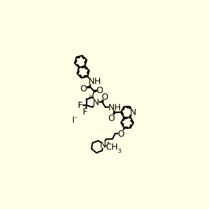 C[N+]1(CCCOc2ccc3nccc(C(=O)NCC(=O)N4CC(F)(F)C[C@H]4C(=O)C(=O)Nc4ccc5ccccc5c4)c3c2)CCCCC1.[I-]